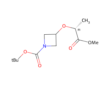 COC(=O)[C@@H](C)OC1CN(C(=O)OC(C)(C)C)C1